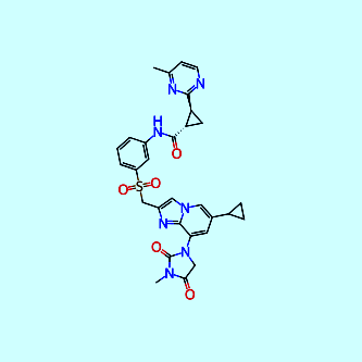 Cc1ccnc([C@H]2C[C@@H]2C(=O)Nc2cccc(S(=O)(=O)Cc3cn4cc(C5CC5)cc(N5CC(=O)N(C)C5=O)c4n3)c2)n1